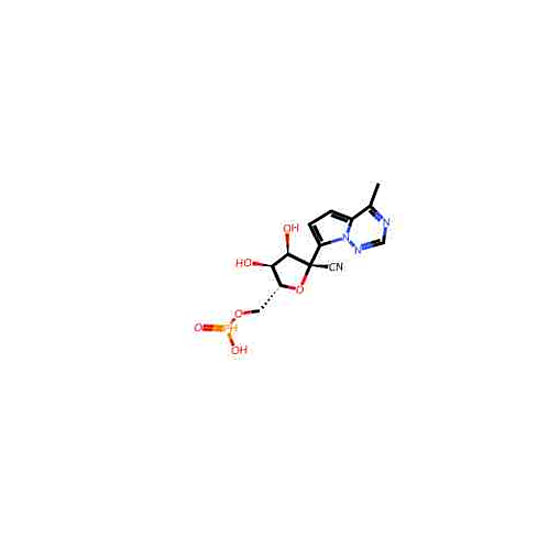 Cc1ncnn2c([C@]3(C#N)O[C@H](CO[PH](=O)O)[C@@H](O)[C@H]3O)ccc12